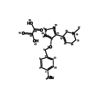 CCCCc1ccc(COc2nsnc2C2=CCCN(C)C2)cc1.O=C(O)C(=O)O